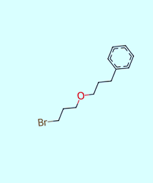 BrCCCOCCCc1ccccc1